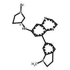 CC(=O)N1CC[C@H](Nc2cc(-c3ccc4c(c3)N(C)CC4)c3nccnc3c2)C1